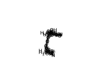 CC(C)(C)[C@H](NC(=O)COCCCOCCCCOc1ccc(N2C(=S)N(c3ccc(C#N)c(C(F)(F)F)c3)C(=O)C2(C)C)cc1)C(=O)N1C[C@H](O)C[C@H]1C(=O)NCc1ccc(-c2cnco2)cc1F